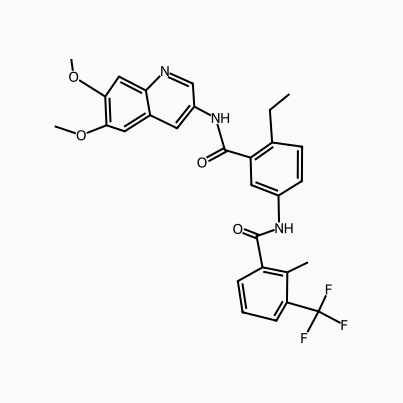 CCc1ccc(NC(=O)c2cccc(C(F)(F)F)c2C)cc1C(=O)Nc1cnc2cc(OC)c(OC)cc2c1